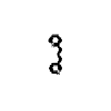 c1ccc(CCCc2cccnc2)nc1